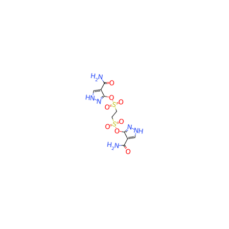 NC(=O)c1c[nH]nc1OS(=O)(=O)CCS(=O)(=O)Oc1n[nH]cc1C(N)=O